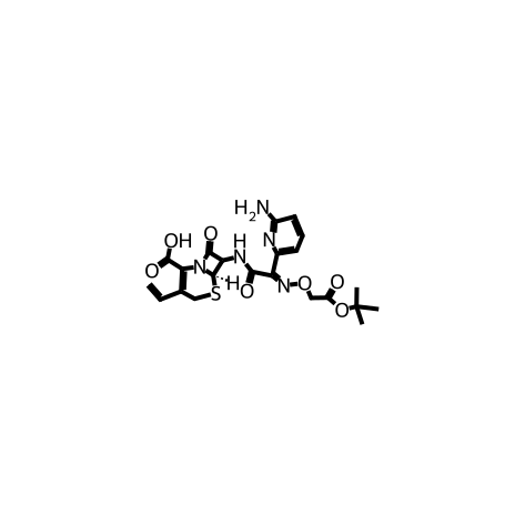 C=CC1=C(C(=O)O)N2C(=O)C(NC(=O)/C(=N/OCC(=O)OC(C)(C)C)c3cccc(N)n3)[C@H]2SC1